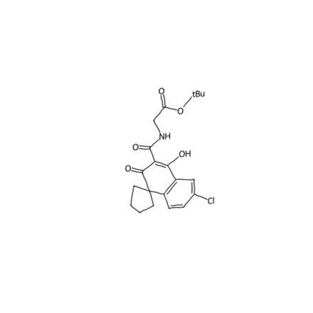 CC(C)(C)OC(=O)CNC(=O)C1=C(O)c2cc(Cl)ccc2C2(CCCC2)C1=O